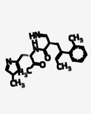 C/C=C(/C[C@H](C=N)C(=O)N[C@@H](CC1=CC(C)C=N1)C(C)=O)c1ccccc1C